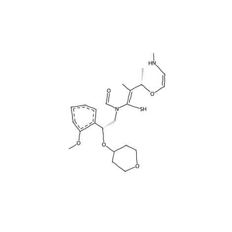 CN/C=C\O[C@@H](C)/C(C)=C(\S)N(C=O)C[C@H](OC1CCOCC1)c1ccccc1OC